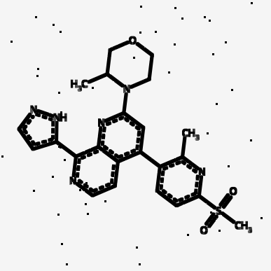 Cc1nc(S(C)(=O)=O)ccc1-c1cc(N2CCOCC2C)nc2c(-c3ccn[nH]3)nccc12